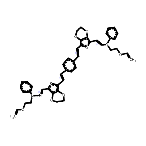 C=COCCN(/C=C/c1sc(/C=C/c2ccc(/C=C/c3sc(/C=N/N(CCOC=C)c4ccccc4)c4c3OCCO4)cc2)c2c1OCCO2)c1ccccc1